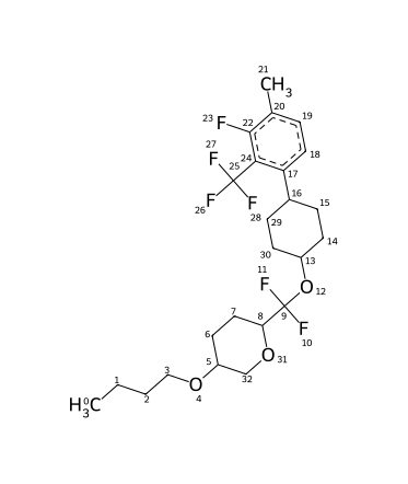 CCCCOC1CCC(C(F)(F)OC2CCC(c3ccc(C)c(F)c3C(F)(F)F)CC2)OC1